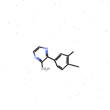 Cc1ccc(-c2nccnc2C(=O)O)cc1C